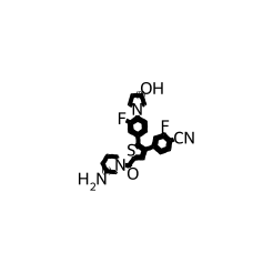 N#Cc1ccc(-c2cc(C(=O)N3CCC[C@@H](N)C3)sc2-c2ccc(N3CC[C@@H](O)C3)c(F)c2)cc1F